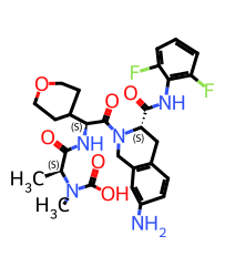 C[C@@H](C(=O)N[C@H](C(=O)N1Cc2cc(N)ccc2C[C@H]1C(=O)Nc1c(F)cccc1F)C1CCOCC1)N(C)C(=O)O